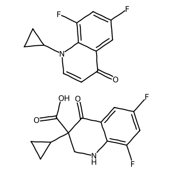 O=C(O)C1(C2CC2)CNc2c(F)cc(F)cc2C1=O.O=c1ccn(C2CC2)c2c(F)cc(F)cc12